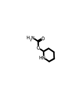 NC(=O)OC1CCCCN1